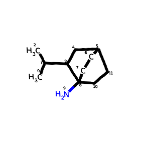 CC(C)C1CC2CCC1(N)CC2